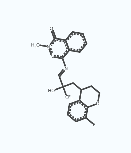 Cn1nc(N=CC(O)(CC2CCOc3c(F)cccc32)C(F)(F)F)c2ccccc2c1=O